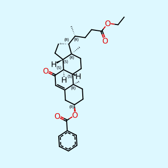 CCOC(=O)CC[C@@H](C)[C@H]1CC[C@H]2[C@@H]3C(=O)C=C4C[C@H](OC(=O)c5ccccc5)CC[C@]4(C)[C@H]3CC[C@]12C